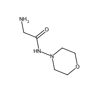 NCC(=O)NN1CCOCC1